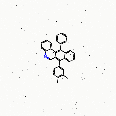 Cc1ccc(-c2c3ccccc3c(-c3ccccc3)c3c2cnc2ccccc23)cc1C